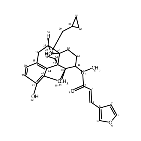 CN(C(=O)/C=C/c1ccoc1)C1CC[C@@]2(O)[C@H]3Cc4ccc(O)c5c4[C@@]2(CCN3CC2CC2)C1(C)O5